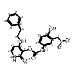 CCN(CC)Cc1cc(NC(=O)Oc2c(NCCc3ccccc3)cc[nH]c2=O)ccc1O